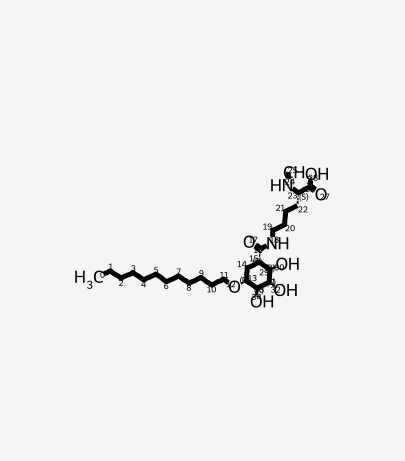 CCCCCCCCCCCCO[C@@H]1C[C@H](C(=O)NCCCC[C@H](NC)C(=O)O)[C@@H](O)[C@H](O)[C@H]1O